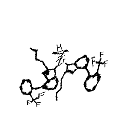 CCCCC1=Cc2c(-c3ccccc3C(F)(F)F)cccc2[CH]1[Zr]([CH]1C(CCCC)=Cc2c(-c3ccccc3C(F)(F)F)cccc21)[SiH](C)C